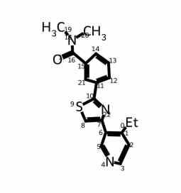 CCc1ccncc1-c1csc(-c2cccc(C(=O)N(C)C)c2)n1